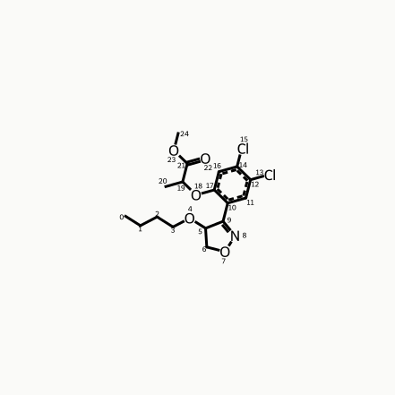 CCCCOC1CON=C1c1cc(Cl)c(Cl)cc1OC(C)C(=O)OC